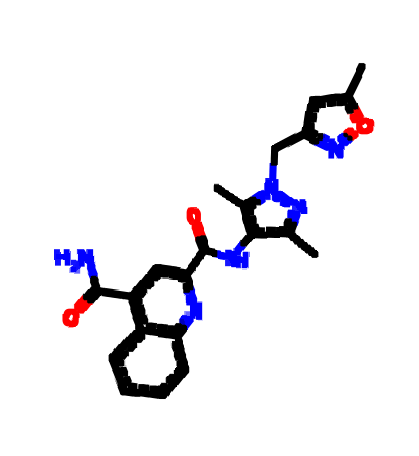 Cc1cc(Cn2nc(C)c(NC(=O)c3cc(C(N)=O)c4ccccc4n3)c2C)no1